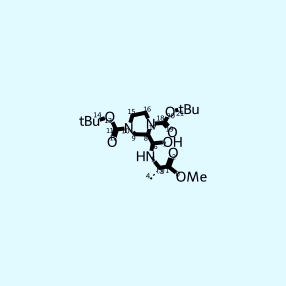 COC(=O)[C@H](C)NC(O)C1CN(C(=O)OC(C)(C)C)CCN1C(=O)OC(C)(C)C